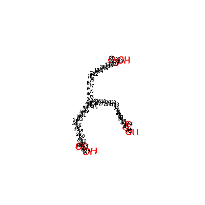 CCC(CCCCCCCC/C=C\CCCCCCCC(=O)OCO)(CCCCCCCC/C=C\CCCCCCCC(=O)OCO)CCCCCCCC/C=C\CCCCCCCC(=O)OCO